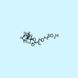 CC(COCCS(=O)(=O)O)C(=O)OC(C)(C)C12CC3CC(CC(C3)C1)C2